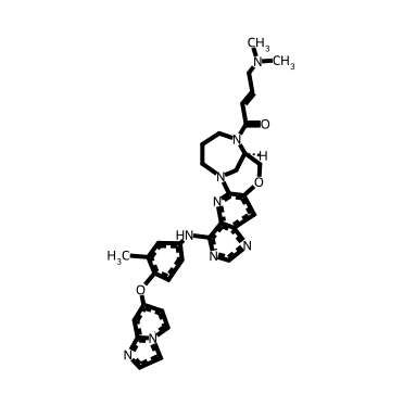 Cc1cc(Nc2ncnc3cc4c(nc23)N2CCCN(C(=O)/C=C/CN(C)C)[C@@H](CO4)C2)ccc1Oc1ccn2ccnc2c1